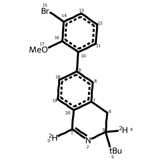 [2H]C1=NC([2H])(C(C)(C)C)Cc2cc(-c3cccc(Br)c3OC)ccc21